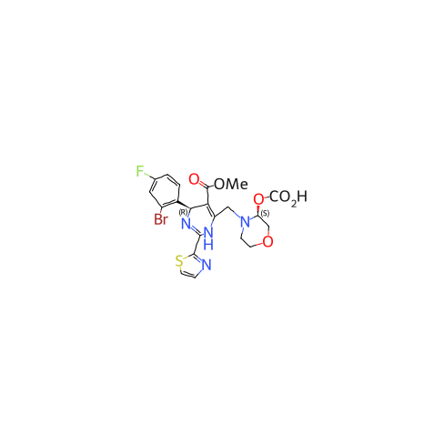 COC(=O)C1=C(CN2CCOC[C@@H]2OC(=O)O)NC(c2nccs2)=N[C@H]1c1ccc(F)cc1Br